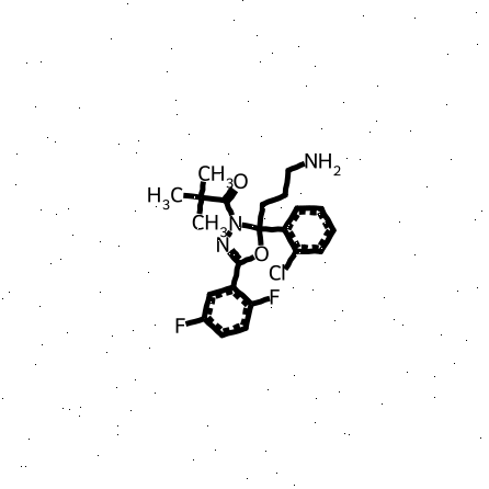 CC(C)(C)C(=O)N1N=C(c2cc(F)ccc2F)OC1(CCCN)c1ccccc1Cl